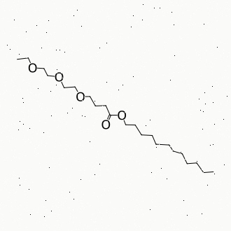 CCCCCCCCCCCCOC(=O)CCCOCCOCCOCC